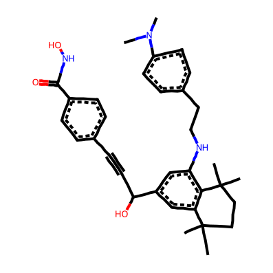 CN(C)c1ccc(CCNc2cc(C(O)C#Cc3ccc(C(=O)NO)cc3)cc3c2C(C)(C)CCC3(C)C)cc1